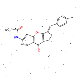 Cc1ccc(C=C2CCc3c2oc2cc(NC(=O)C(=O)O)ccc2c3=O)cc1